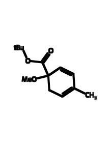 COC1(C(=O)OC(C)(C)C)C=CC(C)=CC1